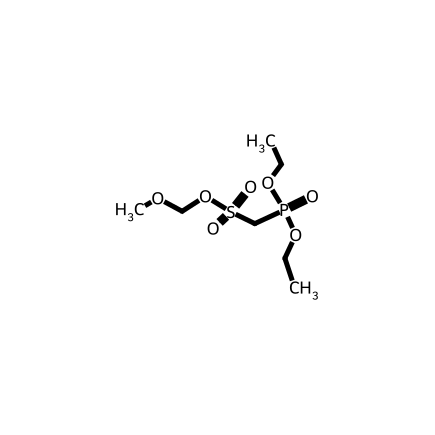 CCOP(=O)(CS(=O)(=O)OCOC)OCC